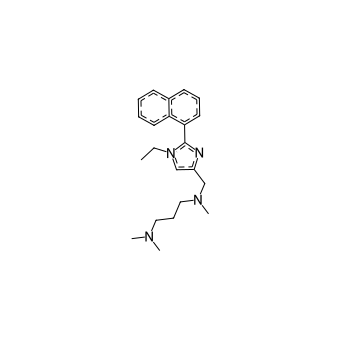 CCn1cc(CN(C)CCCN(C)C)nc1-c1cccc2ccccc12